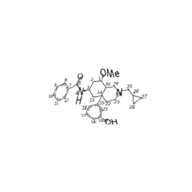 COC1C[C@H](NC(=O)c2ccccc2)CC2(c3cccc(O)c3)CCN(CC3CC3)CC12